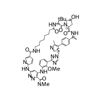 CNC(=O)c1nnc(Nc2ccc(C(=O)NCCCCCCCC(=O)N[C@H](C(=O)N3C[C@H](O)C[C@H]3C(=O)N[C@@H](C)c3ccc(-c4scnc4C)cc3)C(C)(C)C)cn2)cc1Nc1cccc(-c2ncn(C)n2)c1OC